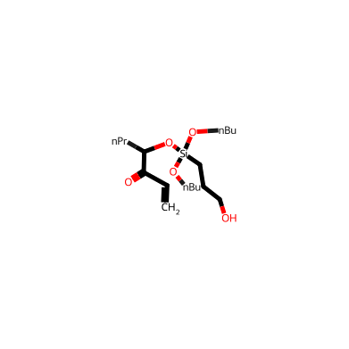 C=CC(=O)C(CCC)O[Si](CCCO)(OCCCC)OCCCC